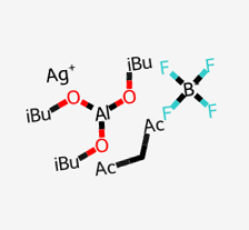 CC(=O)CC(C)=O.CCC(C)[O][Al]([O]C(C)CC)[O]C(C)CC.F[B-](F)(F)F.[Ag+]